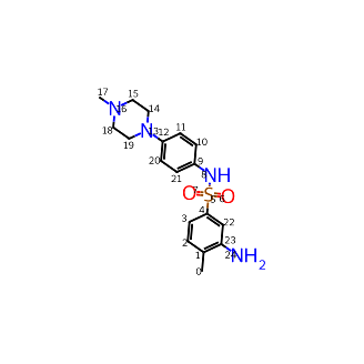 Cc1ccc(S(=O)(=O)Nc2ccc(N3CCN(C)CC3)cc2)cc1N